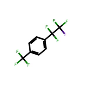 FC(F)(F)c1ccc(C(F)(F)C(F)(F)I)cc1